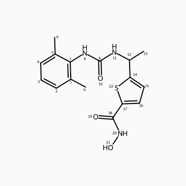 Cc1cccc(C)c1NC(=O)NC(C)c1ccc(C(=O)NO)s1